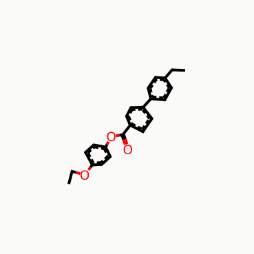 CCOc1ccc(OC(=O)c2ccc(-c3ccc(CC)cc3)cc2)cc1